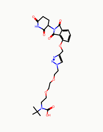 CC(C)(C)N(CCOCCOCCn1cc(COc2cccc3c2C(=O)N(C2CCC(=O)NC2=O)C3=O)nn1)C(=O)O